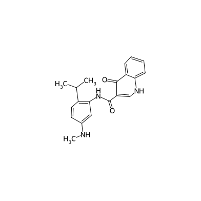 CNc1ccc(C(C)C)c(NC(=O)c2c[nH]c3ccccc3c2=O)c1